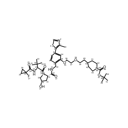 Cc1ncsc1-c1ccc(CNC(=O)[C@@H]2C[C@@H](O)CN2C(=O)[C@@H](NC(=O)C2(F)CC2)C(C)(C)C)c(OCCOCCC2CCN(C(=O)OC(C)(C)C)CC2)c1